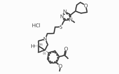 COc1ccc([C@]23C[C@H]2CN(CCCSc2nnc(C4CCOCC4)n2C)C3)cc1C(C)=O.Cl